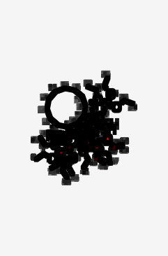 CCO[Si](CS(S)(SS)C1CCCCCCCCCC(S(S)(C[Si](OCC)(OCC)OCC)SS)(S(S)(C[Si](OCC)(OCC)OCC)SS)C1(S(S)(C[Si](OCC)(OCC)OCC)SS)S(S)(C[Si](OCC)(OCC)OCC)SS)(OCC)OCC